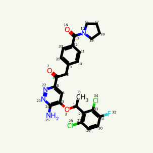 CC(Oc1cc(C(=O)Cc2ccc(C(=O)N3CCCC3)cc2)nnc1N)c1c(Cl)ccc(F)c1Cl